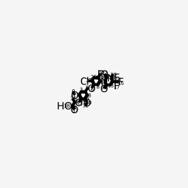 COc1cc(COc2cc(-n3c(=O)cc(C(F)(F)F)n(C)c3=O)c(F)cc2Cl)cc(OC)c1OC(C)C(=O)O